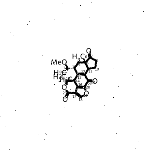 C=C(OC)[C@@H]1C[C@]2(C)C(=O)CCC2C2=C1[C@]1(C)c3c(coc3C2=O)C(=O)O[C@@H]1C